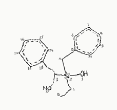 CC[Si](O)(Cc1ccccc1)C(O)c1ccccc1